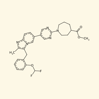 COC(=O)C1CCCN(c2ncc(-c3ccc4nc(C)c(Cc5ccccc5OC(F)F)n4c3)cn2)CC1